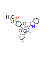 CC(Oc1ccc(F)cc1F)(C(=O)NC1=Nc2ccccc2C1)c1ccc(S(C)(=O)=O)cc1